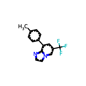 Cc1ccc(-c2cc(C(F)(F)F)cn3ccnc23)cc1